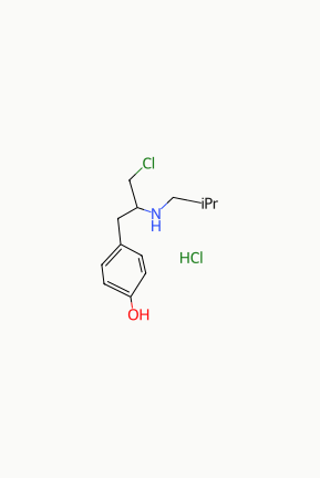 CC(C)CNC(CCl)Cc1ccc(O)cc1.Cl